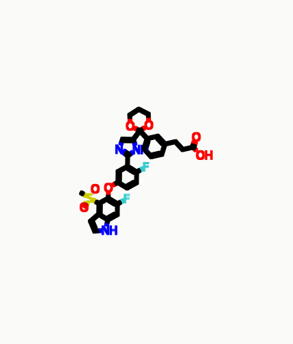 CS(=O)(=O)c1c(Oc2ccc(F)c(-c3ncc(C4(c5cccc(CCC(=O)O)c5)OCCCO4)[nH]3)c2)c(F)cc2[nH]ccc12